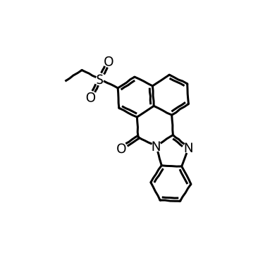 CCS(=O)(=O)c1cc2cccc3c2c(c1)c(=O)n1c2ccccc2nc31